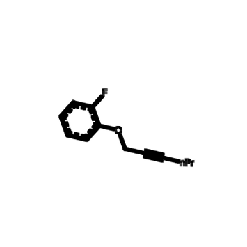 CCCC#CCOc1ccc[c]c1F